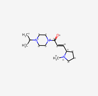 CC(C)N1CCN(C(=O)/C=C/C2CCCN2C)CC1